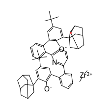 CC(C)(C)c1cc(-c2ccccc2-c2cccc(-c3ccccc3-c3cc(C(C)(C)C)cc(C45CC6CC(CC(C6)C4)C5)c3[O-])n2)c([O-])c(C23CC4CC(CC(C4)C2)C3)c1.[CH3][Zr+2][CH3]